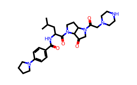 CC(C)CC(NC(=O)c1ccc(N2CCCC2)cc1)C(=O)N1CCC2C1C(=O)CN2C(=O)CN1CCNCC1